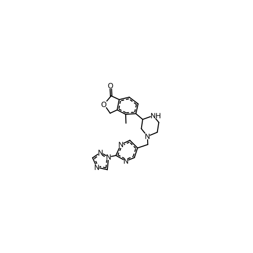 Cc1c(C2CN(Cc3cnc(-n4cncn4)nc3)CCN2)ccc2c1COC2=O